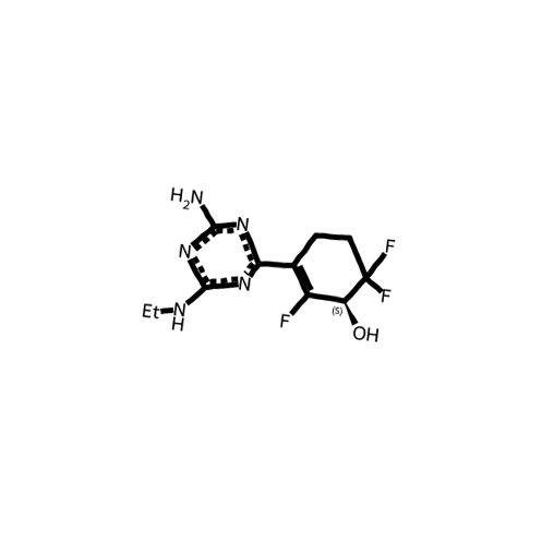 CCNc1nc(N)nc(C2=C(F)[C@H](O)C(F)(F)CC2)n1